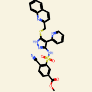 COC(=O)c1ccc(C#N)c(S(=O)(=O)Nc2n[nH]c(SCc3ccc4ccccc4n3)c2-c2ccccn2)c1